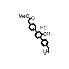 COC(=O)CC1CCN(C2=CC=C(c3ccc(CN)cc3)C(=C=O)C2)CC1.Cl